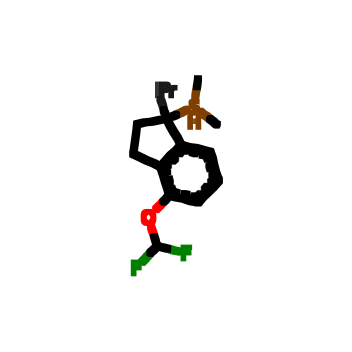 CC(C)C1([SH](C)C)CCc2c(OC(F)F)cccc21